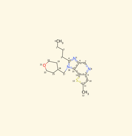 CCCCc1nc2cnc3cc(C)sc3c2n1CC1CCOCC1